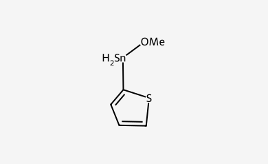 C[O][SnH2][c]1cccs1